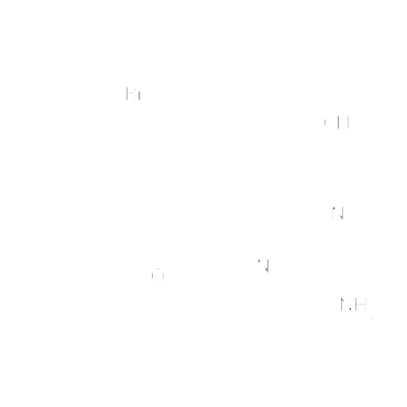 Cc1nc(N)nc2c(OC3CCC3)cc(Br)cc12